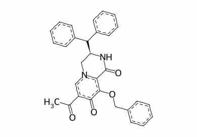 CC(=O)c1cn2c(c(OCc3ccccc3)c1=O)C(=O)N[C@H](C(c1ccccc1)c1ccccc1)C2